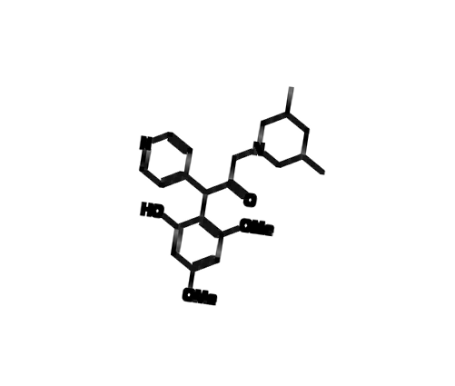 COc1cc(O)c(C(C(=O)CN2CC(C)CC(C)C2)c2ccncc2)c(OC)c1